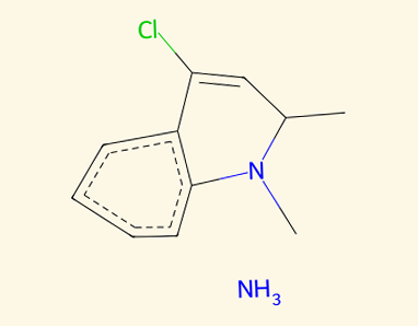 CC1C=C(Cl)c2ccccc2N1C.N